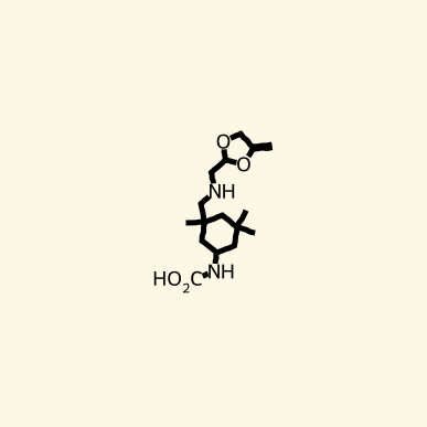 C=C1COC(CNCC2(C)CC(NC(=O)O)CC(C)(C)C2)O1